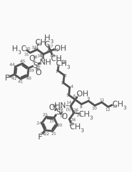 CCCCCCC(O)(CCCCCC)[C@@H](NS(=O)(=O)c1ccc(F)cc1)[C@@H](C)CC.CC[C@H](C)[C@H](NS(=O)(=O)c1ccc(F)cc1)C(C)(C)O